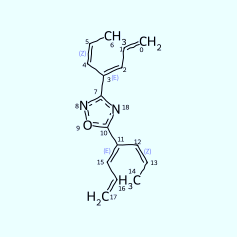 C=C/C=C(\C=C/C)c1noc(C(/C=C\C)=C/C=C)n1